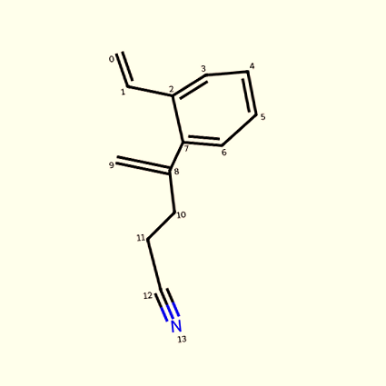 C=Cc1ccccc1C(=C)CCC#N